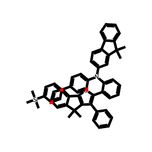 CC1(C)c2ccccc2-c2ccc(N(c3ccc(-c4ccc([Si](C)(C)C)cc4)cc3)c3ccccc3-c3oc4c(c3-c3ccccc3)C(C)(C)c3ccccc3-4)cc21